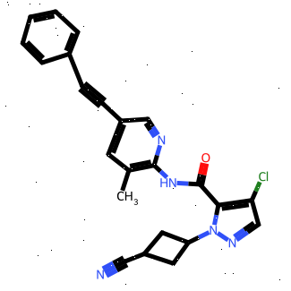 Cc1cc(C#Cc2ccccc2)cnc1NC(=O)c1c(Cl)cnn1C1CC(C#N)C1